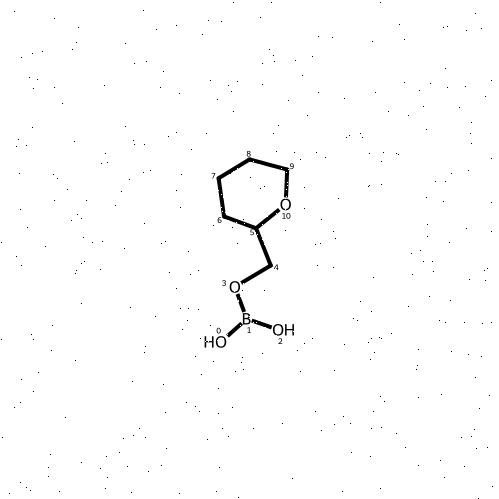 OB(O)OCC1CCCCO1